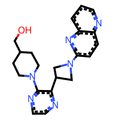 OCC1CCN(c2nccnc2C2CN(c3ccc4ncccc4n3)C2)CC1